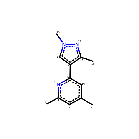 Cc1cc(C)nc(-c2cn(C)nc2C)c1